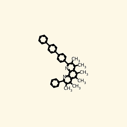 Cc1c(-c2ccccc2)nc2c(c1C)c(C)c(C)c1c(C)c(C)c(-c3ccc(-c4ccc(-c5ccccc5)cc4)cc3)nc12